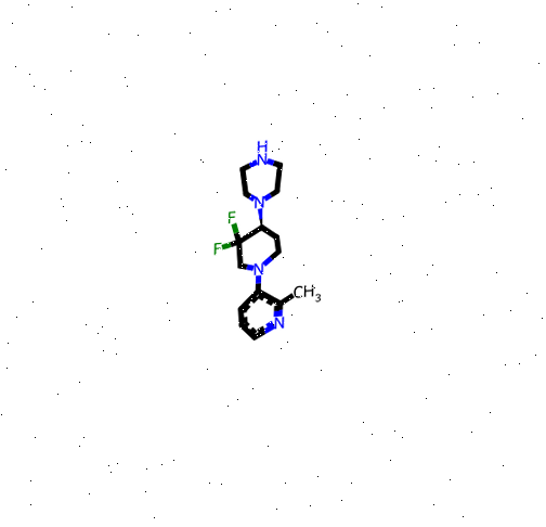 Cc1ncccc1N1CC[C@H](N2CCNCC2)C(F)(F)C1